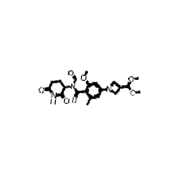 COc1cc(N2CC(C(OC)OC)C2)cc(C)c1C(=O)N(C=O)C1CCC(=O)NC1=O